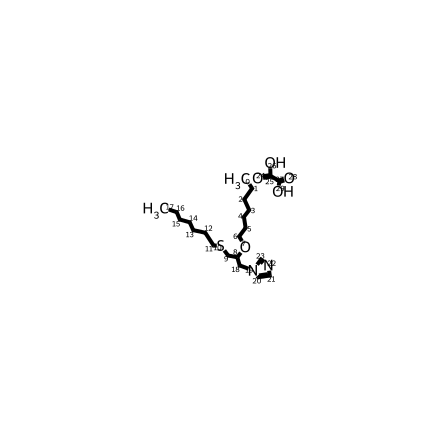 CCCCCCCOC(CSCCCCCCC)Cn1ccnc1.O=C(O)C(=O)O